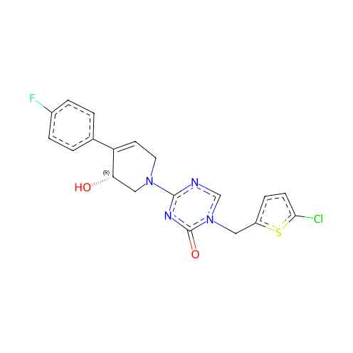 O=c1nc(N2CC=C(c3ccc(F)cc3)[C@@H](O)C2)ncn1Cc1ccc(Cl)s1